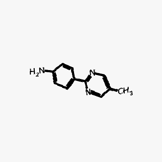 Cc1cnc(-c2ccc(N)cc2)nc1